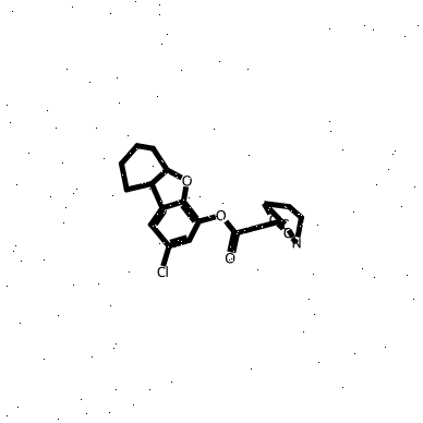 O=C(Oc1cc(Cl)cc2c1OC1CCCCC21)C1CN2CCC1CC2